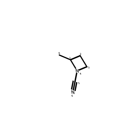 CC1CCN1C#N